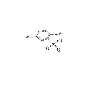 CC(C)c1ccc(C(C)C)c(S(=O)(=O)Cl)c1